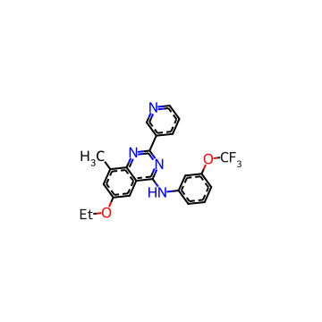 CCOc1cc(C)c2nc(-c3cccnc3)nc(Nc3cccc(OC(F)(F)F)c3)c2c1